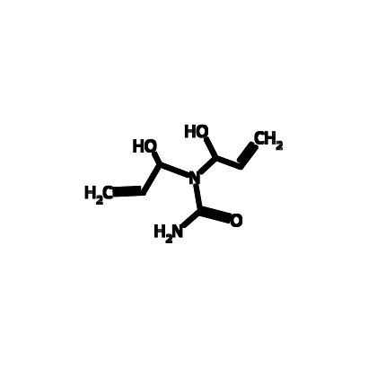 C=CC(O)N(C(N)=O)C(O)C=C